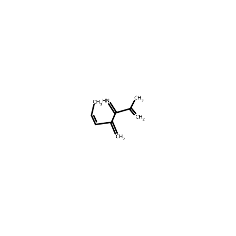 C=C(C)C(=N)C(=C)/C=C\C